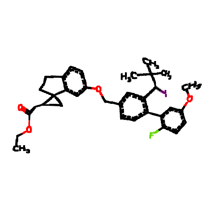 CCOC(=O)[C@@H]1C[C@]12CCc1ccc(OCc3ccc(-c4cc(OC)ccc4F)c(C(I)C(C)(C)C)c3)cc12